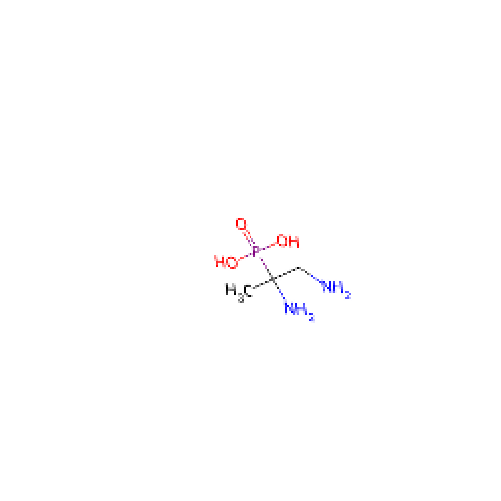 CC(N)(CN)P(=O)(O)O